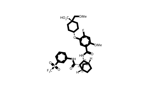 COC[C@]1(C(=O)O)CC[C@H](Oc2cc(C(=O)N[C@@H]3[C@@H]4CC[C@@H](C4)[C@@H]3C(=O)Nc3cccc(S(=O)(=O)C(F)(F)F)c3)c(OC)cc2F)CC1